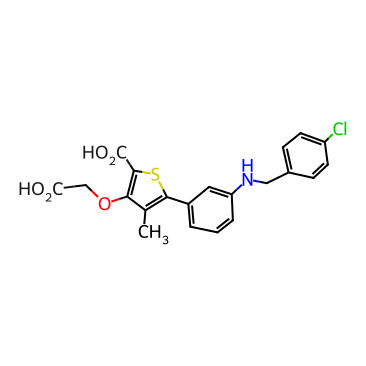 Cc1c(-c2cccc(NCc3ccc(Cl)cc3)c2)sc(C(=O)O)c1OCC(=O)O